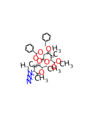 CCC1O[C@@H](C)C(N=[N+]=[N-])[C@@H](C)[C@@H]1O[C@@H]1OC(C(=O)OC)[C@@H](C)[C@@H](OCc2ccccc2)C1OC(=O)c1ccccc1